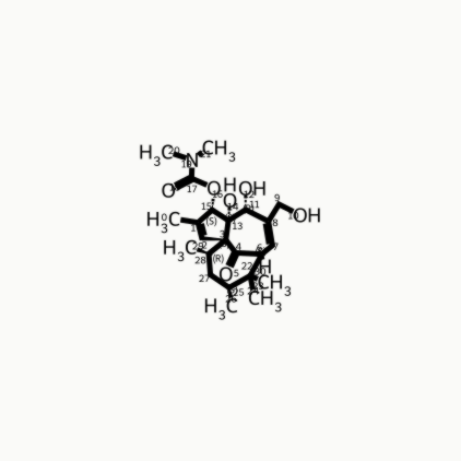 CC1=C[C@]23C(=O)[C@@H](C=C(CO)[C@@H](O)[C@]2(O)[C@H]1OC(=O)N(C)C)C(C)(C)[C@@H](C)C[C@H]3C